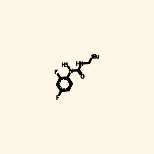 CC(C)(C)CNC(=O)N(S)c1ccc(F)cc1F